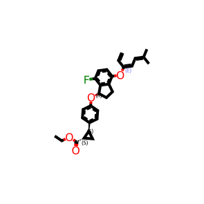 C=C/C(=C\C=C(C)C)Oc1ccc(F)c2c1CC[C@H]2Oc1ccc([C@H]2C[C@@H]2C(=O)OCC)cc1